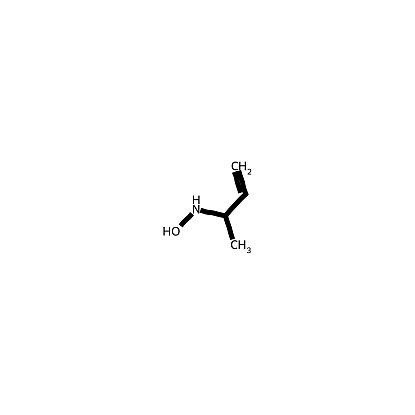 C=CC(C)NO